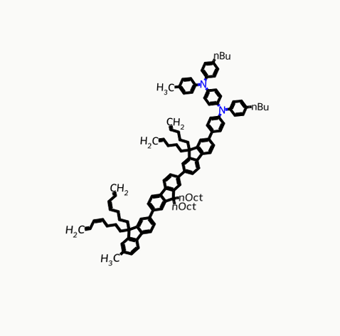 C=C/C=C\CCCC1(CCC/C=C\C=C)c2cc(C)ccc2-c2ccc(-c3ccc4c(c3)C(CCCCCCCC)(CCCCCCCC)c3cc(-c5ccc6c(c5)C(CCCC=C)(CCCC=C)c5cc(-c7ccc(N(c8ccc(CCCC)cc8)c8ccc(N(c9ccc(C)cc9)c9ccc(CCCC)cc9)cc8)cc7)ccc5-6)ccc3-4)cc21